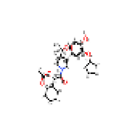 COc1ccc([C@@H]2CN(C(=O)[C@@H](OC(C)=O)C3CCCCC3)C[C@@]2(C)[C@@H](C)O)cc1OC1CCCC1